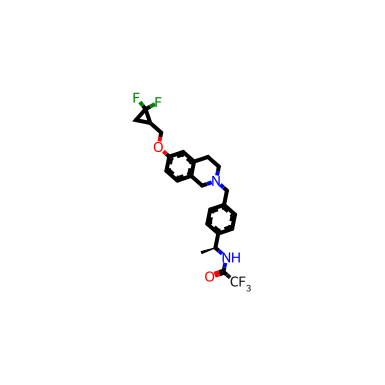 C[C@H](NC(=O)C(F)(F)F)c1ccc(CN2CCc3cc(OCC4CC4(F)F)ccc3C2)cc1